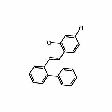 Clc1ccc(C=Cc2ccccc2-c2ccccc2)c(Cl)c1